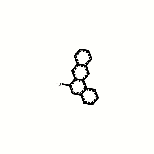 Pc1cc2ccccc2c2cc3ccccc3cc12